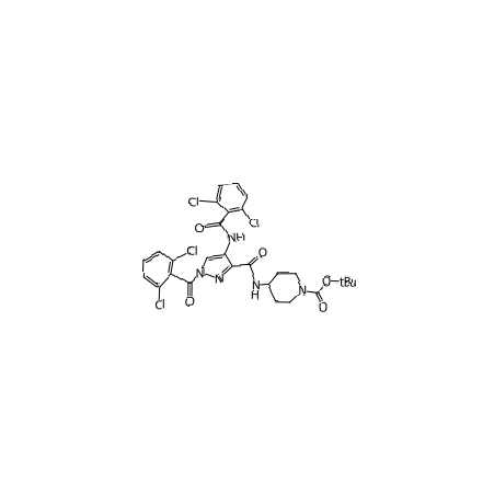 CC(C)(C)OC(=O)N1CCC(NC(=O)c2nn(C(=O)c3c(Cl)cccc3Cl)cc2NC(=O)c2c(Cl)cccc2Cl)CC1